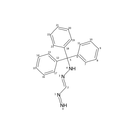 N=NC=NNC(c1ccccc1)(c1ccccc1)c1ccccc1